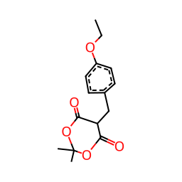 CCOc1ccc(CC2C(=O)OC(C)(C)OC2=O)cc1